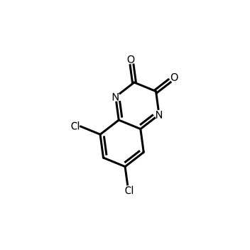 O=C1N=c2cc(Cl)cc(Cl)c2=NC1=O